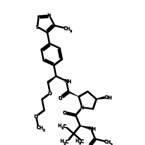 COCCOC[C@H](NC(=O)[C@@H]1C[C@@H](O)CN1C(=O)[C@@H](NC(C)=O)C(C)(C)C)c1ccc(-c2scnc2C)cc1